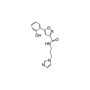 O=C(NCCCn1ccnc1)c1cc(-c2ccccc2O)on1